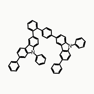 c1ccc(-c2ccc3c(c2)c2cc(-c4ccc(-c5ccccc5-c5ccc6c(c5)c5ccc(-c7ccccc7)cc5n6-c5ccccc5)cc4)ccc2n3-c2ccccc2)cc1